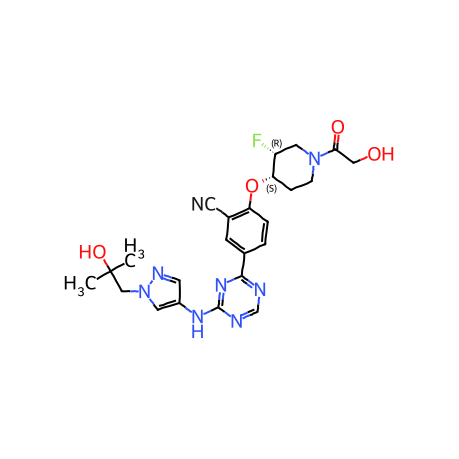 CC(C)(O)Cn1cc(Nc2ncnc(-c3ccc(O[C@H]4CCN(C(=O)CO)C[C@H]4F)c(C#N)c3)n2)cn1